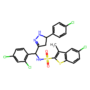 Cc1c(S(=O)(=O)NC(C2=NNC(c3ccc(Cl)cc3)C2)c2ccc(Cl)cc2Cl)sc2ccc(Cl)cc12